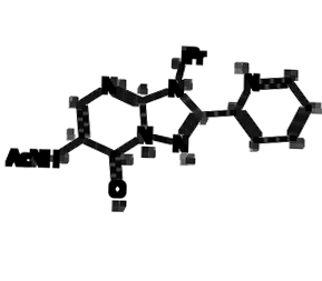 CC(=O)Nc1cnc2n(C(C)C)c(-c3ccccn3)nn2c1=O